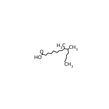 CCCCCC(C)C(C)CCCCCCCC(=O)O